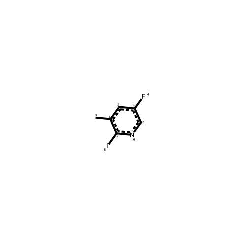 Cc1cc(F)cnc1I